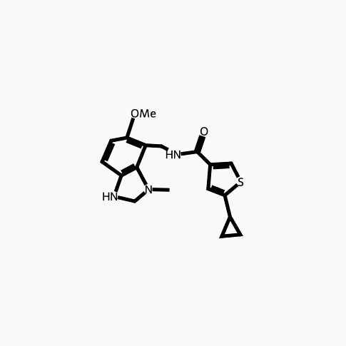 COc1ccc2c(c1CNC(=O)c1csc(C3CC3)c1)N(C)CN2